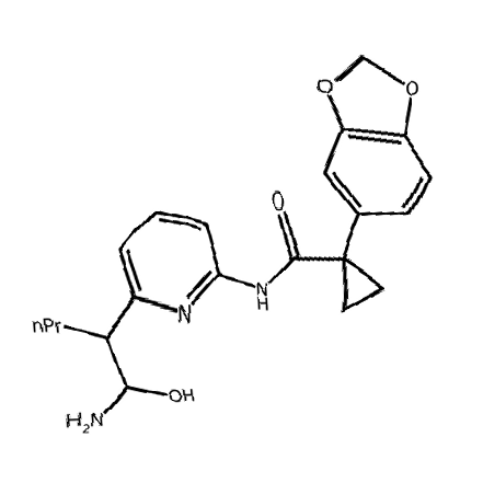 CCCC(c1cccc(NC(=O)C2(c3ccc4c(c3)OCO4)CC2)n1)C(N)O